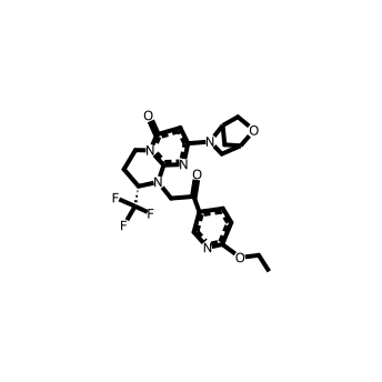 CCOc1ccc(C(=O)CN2c3nc(N4CC5CC4CO5)cc(=O)n3CC[C@H]2C(F)(F)F)cn1